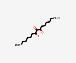 CCCCCCCCCCCCCCCC(=O)C(=O)C(=O)CCCCCCCCCCCCCCC